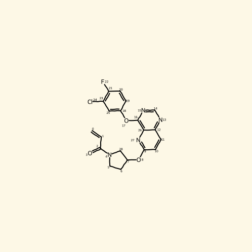 C=CC(=O)N1CCC(Oc2ccc3ncnc(Oc4ccc(F)c(Cl)c4)c3n2)C1